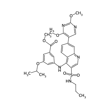 CCCNS(=O)(=O)c1cnc2cc(-c3cnc(OC)nc3OC)ccc2c1Nc1cc(OC(C)C)cc(C(=O)OC)c1